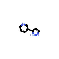 [c]1cncc(-c2ccn[nH]2)c1